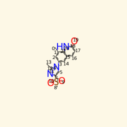 Cc1cc(-n2cc(S(C)(=O)=O)nc2C)cc2ccc(=O)[nH]c12